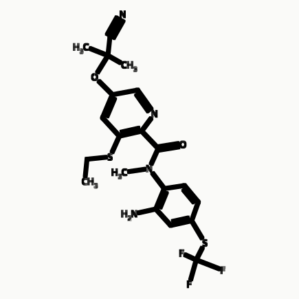 CCSc1cc(OC(C)(C)C#N)cnc1C(=O)N(C)c1ccc(SC(F)(F)F)cc1N